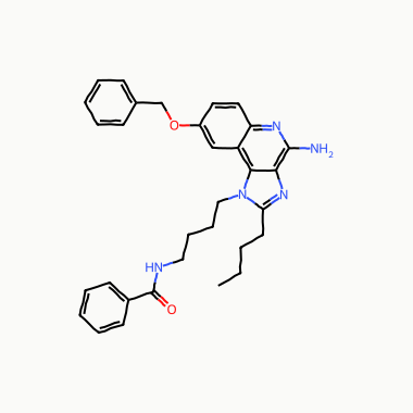 CCCCc1nc2c(N)nc3ccc(OCc4ccccc4)cc3c2n1CCCCNC(=O)c1ccccc1